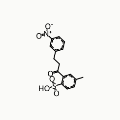 Cc1ccc(S(=O)(=O)O)c(C(=O)CCc2cccc([N+](=O)[O-])c2)c1